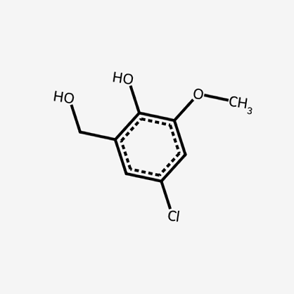 COc1cc(Cl)cc(CO)c1O